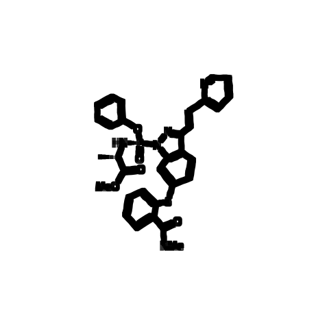 CNC(=O)c1ccccc1Sc1ccc2c(/C=C/c3ccccn3)nn([P@](=O)(N[C@@H](C)C(=O)OC)Oc3ccccc3)c2c1